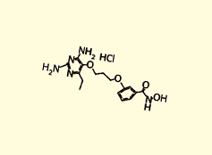 CCc1nc(N)nc(N)c1OCCCOc1cccc(C(=O)NO)c1.Cl